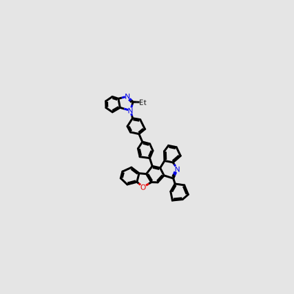 CCc1nc2ccccc2n1-c1ccc(-c2ccc(-c3c4c(cc5c(-c6ccccc6)nc6ccccc6c35)oc3ccccc34)cc2)cc1